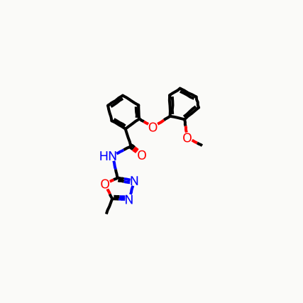 COc1ccccc1Oc1ccccc1C(=O)Nc1nnc(C)o1